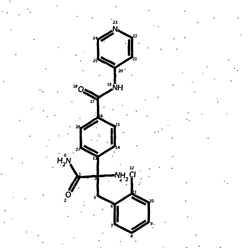 NC(=O)C(N)(Cc1ccccc1Cl)c1ccc(C(=O)Nc2ccncc2)cc1